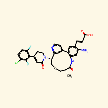 C[C@@H]1CCC[C@H](N2CCC(c3c(F)ccc(Cl)c3F)=CC2=O)c2cc(ccn2)-c2cc(C=CC(=O)O)c(N)cc2NC1=O